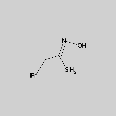 CC(C)CC([SiH3])=NO